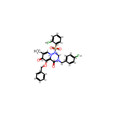 Cc1cn2c(c(OCc3ccccc3)c1=O)C(=O)N(Cc1ccc(F)cc1)CN2S(=O)(=O)c1ccccc1F